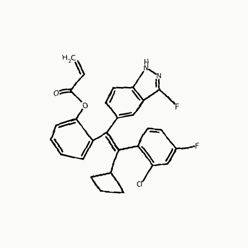 C=CC(=O)Oc1ccccc1/C(=C(/c1ccc(F)cc1Cl)C1CCC1)c1ccc2[nH]nc(F)c2c1